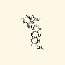 Cc1ccnc(Oc2ccc(-c3c(Br)nn4ncnc(N)c34)cc2F)n1